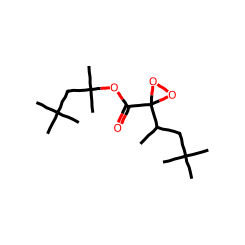 CC(CC(C)(C)C)C1(C(=O)OC(C)(C)CC(C)(C)C)OO1